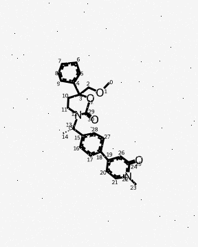 COCC1(c2ccccc2)CCN([C@@H](C)c2ccc(-c3ccn(C)c(=O)c3)cc2)C(=O)O1